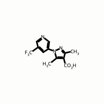 Cc1nn(-c2cncc(C(F)(F)F)c2)c(C)c1C(=O)O